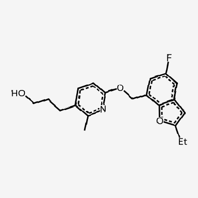 CCc1cc2cc(F)cc(COc3ccc(CCCO)c(C)n3)c2o1